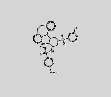 CN=S(=O)(NC1CN(S(=O)(=O)c2cccc(Cl)c2)CC(N2c3ccccc3CCc3ccccc32)C1O)c1ccc(OC(F)(F)F)cc1